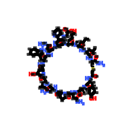 CCCC[C@H]1C(=O)N(C)[C@@H](CCCC)C(=O)N[C@@H](CC(C)C)C(=O)N[C@H](C(N)=O)CSCC(=O)N[C@@H](Cc2ccc(O)cc2)C(=O)N(C)[C@@H](C)C(=O)N[C@@H](CC(N)=O)C(=O)N2CCC[C@H]2C(=O)N[C@@H](CN)C(=O)N[C@@H](CC(C)C)C(=O)N2C[C@H](O)C[C@H]2C(=O)N[C@@H](Cc2c[nH]c3ccccc23)C(=O)N[C@@H](CCN)C(=O)N[C@@H](Cc2cn(CC(=O)O)c3cccnc23)C(=O)N1C